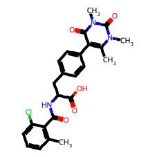 Cc1cccc(Cl)c1C(=O)NC(Cc1ccc(-c2c(C)n(C)c(=O)n(C)c2=O)cc1)C(=O)O